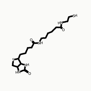 O=C(CCCCCNC(=O)CCCCC1SCC2NC(=O)NC21)NCCS